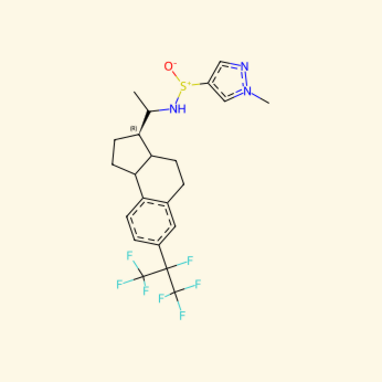 CC(N[S+]([O-])c1cnn(C)c1)[C@@H]1CCC2c3ccc(C(F)(C(F)(F)F)C(F)(F)F)cc3CCC21